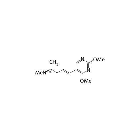 CN[C@@H](C)CC=Cc1cnc(OC)nc1OC